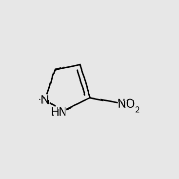 O=[N+]([O-])C1=CC[N]N1